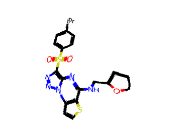 CC(C)c1ccc(S(=O)(=O)c2nnn3c2nc(NCC2CCCO2)c2sccc23)cc1